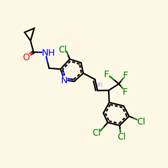 O=C(NCc1ncc(/C=C/C(c2cc(Cl)c(Cl)c(Cl)c2)C(F)(F)F)cc1Cl)C1CC1